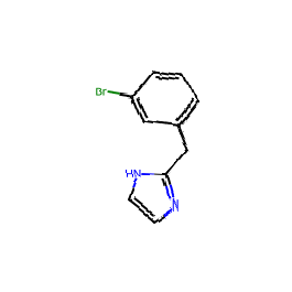 Brc1cccc(Cc2ncc[nH]2)c1